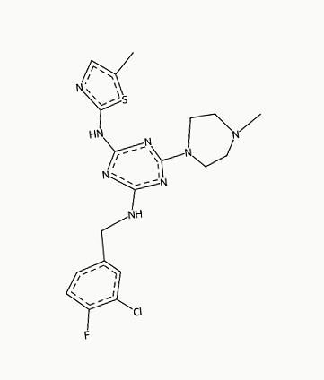 Cc1cnc(Nc2nc(NCc3ccc(F)c(Cl)c3)nc(N3CCN(C)CC3)n2)s1